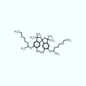 CCOCCOC(C)Oc1cc2c(cc1O)C1(CC2(C)C)CC(C)(C)c2cc(OC(C)OCCOCC)c(O)cc21